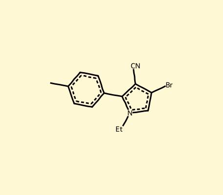 CCn1cc(Br)c(C#N)c1-c1ccc(C)cc1